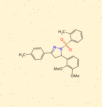 COc1cccc(C2CC(c3ccc(C)cc3)=NN2S(=O)(=O)c2ccccc2C)c1OC